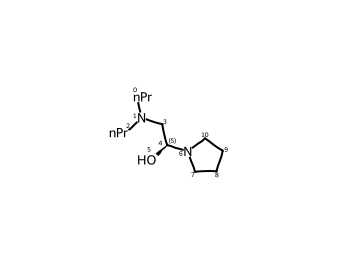 CCCN(CCC)C[C@H](O)N1CCCC1